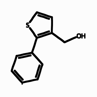 OCc1ccsc1-c1cc[c]cc1